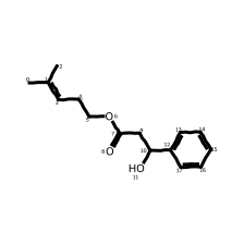 CC(C)=C[CH]COC(=O)CC(O)c1ccccc1